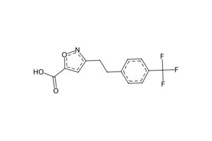 O=C(O)c1cc(CCc2ccc(C(F)(F)F)cc2)no1